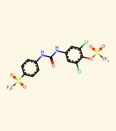 O=C(Nc1ccc(S(=O)(=O)C(F)(F)F)cc1)Nc1cc(Cl)c(OS(=O)(=O)C(F)(F)F)c(Cl)c1